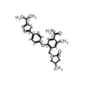 Cc1cc(CN2CC(C)CC2=O)c(Oc2ccc(-c3nnc(C(C)C)s3)cc2)cc1C(N)=O